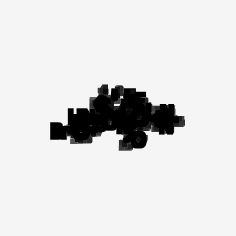 C=C[C@@H]1[C@@H](C)C[C@@H](C(=O)Nc2nc(Br)ccc2C)N1C(=O)Cn1nc(C(C)=O)c2cc(-c3cnc(C)nc3)nc(C(F)(F)F)c21